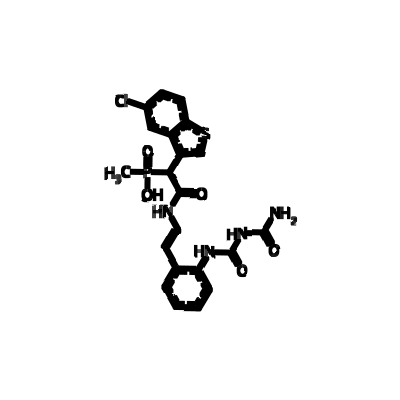 CP(=O)(O)C(C(=O)NC=Cc1ccccc1NC(=O)NC(N)=O)c1csc2ccc(Cl)cc12